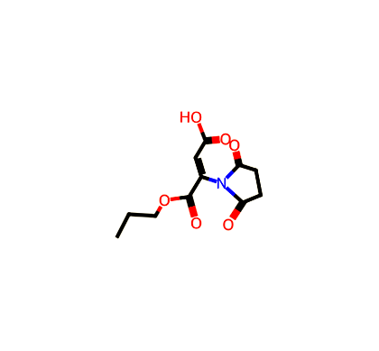 CCCOC(=O)/C(=C/C(=O)O)N1C(=O)CCC1=O